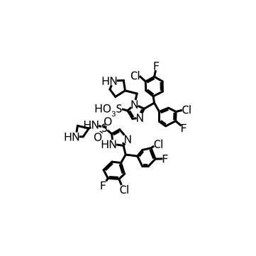 O=S(=O)(NC1CNC1)c1cnc(C(c2ccc(F)c(Cl)c2)c2ccc(F)c(Cl)c2)[nH]1.O=S(=O)(O)c1cnc(C(c2ccc(F)c(Cl)c2)c2ccc(F)c(Cl)c2)n1CC1CCNC1